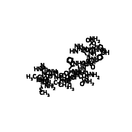 CSCC[C@H](NC(=O)[C@H](CC(C)C)NC(=O)[C@H](Cc1c[nH]cn1)NC(=O)CNC(=O)[C@@H](NC(=O)[C@H](C)NC(=O)[C@H](Cc1c[nH]c2ccccc12)NC(=O)[C@H](CCC(N)=O)NC(=O)[C@H](CC(N)=O)NC(=O)CNC(=O)[C@H](Cc1ccc(O)cc1)NC(=O)[C@H](CCCNC(=N)N)NC(=O)[C@H](CCC(N)=O)NC(=O)[C@@H]1CCC(=O)N1)C(C)C)C(N)=O